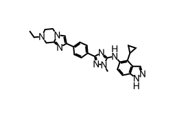 CCN1CCn2cc(-c3ccc(-c4nc(Nc5ccc6[nH]ncc6c5C5CC5)n(C)n4)cc3)nc2C1